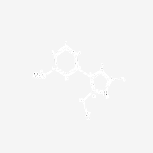 COc1cccc(-c2sc(C)nc2CBr)c1